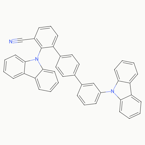 N#Cc1cccc(-c2ccc(-c3cccc(-n4c5ccccc5c5ccccc54)c3)cc2)c1-n1c2ccccc2c2ccccc21